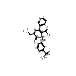 CCc1nc(-c2cccnc2)c(C(C)=O)n(Nc2cccc(C(N)=O)c2)c1=O